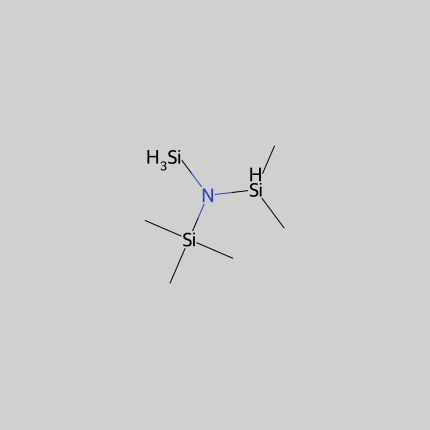 C[SiH](C)N([SiH3])[Si](C)(C)C